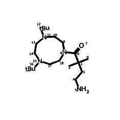 CC(C)(CCN)C(=O)N1CCN(C(C)(C)C)CCN(C(C)(C)C)CC1